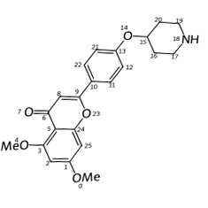 COc1cc(OC)c2c(=O)cc(-c3ccc(OC4CCNCC4)cc3)oc2c1